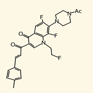 CC(=O)N1CCN(c2c(F)cc3c(=O)c(C(=O)C=Cc4ccc(C)cc4)cn(CCF)c3c2F)CC1